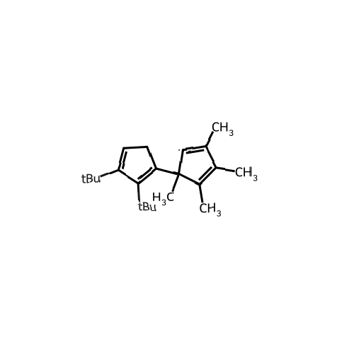 CC1=[C]C(C)(C2=C(C(C)(C)C)C(C(C)(C)C)=CC2)C(C)=C1C